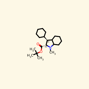 CN1C2CCCCC2[C@H](C2CCCCC2)[C@H]1C(=O)OC(C)(C)C